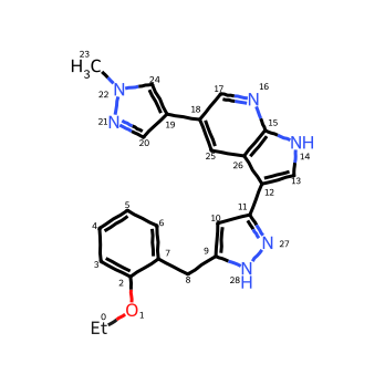 CCOc1ccccc1Cc1cc(-c2c[nH]c3ncc(-c4cnn(C)c4)cc23)n[nH]1